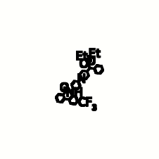 CCC(CC)OC(=O)C(c1ccccc1)C1CCN(c2ccc(NC(=O)c3ccccc3-c3ccc(C(F)(F)F)cc3)cc2)CC1